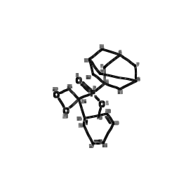 COP(=O)(C12CC3CC(CC(C3)C1)C2)C1(c2ccccc2)COO1